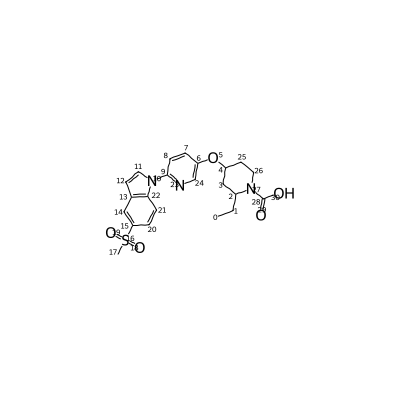 CCC1CC(Oc2ccc(-n3ccc4cc(S(C)(=O)=O)ccc43)nc2)CCN1C(=O)O